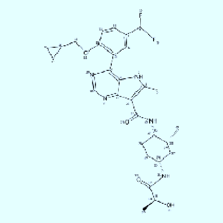 Cc1[nH]c2c(-c3cc(C(F)F)ccc3OCC3CC3)ncnc2c1C(=O)N[C@H]1CC[C@@H](NC(=O)[C@H](C)O)C[C@H]1C